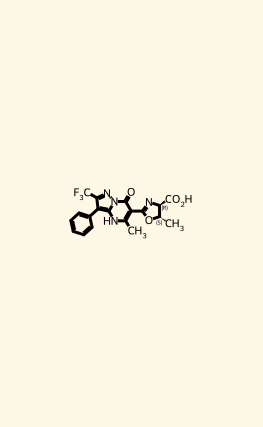 Cc1[nH]c2c(-c3ccccc3)c(C(F)(F)F)nn2c(=O)c1C1=N[C@@H](C(=O)O)[C@H](C)O1